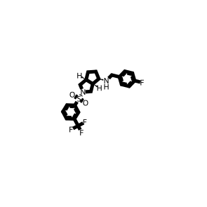 O=S(=O)(c1cccc(C(F)(F)F)c1)N1C[C@H]2CC[C@H](NCc3ccc(F)cc3)[C@H]2C1